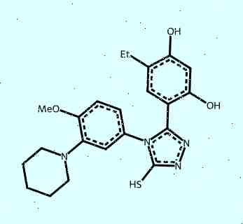 CCc1cc(-c2nnc(S)n2-c2ccc(OC)c(N3CCCCC3)c2)c(O)cc1O